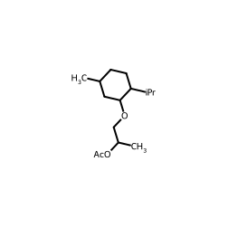 CC(=O)OC(C)COC1CC(C)CCC1C(C)C